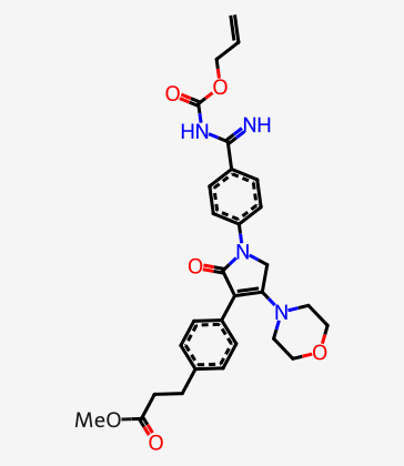 C=CCOC(=O)NC(=N)c1ccc(N2CC(N3CCOCC3)=C(c3ccc(CCC(=O)OC)cc3)C2=O)cc1